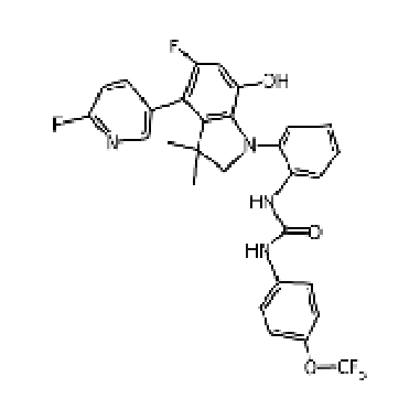 CC1(C)CN(c2ccccc2NC(=O)Nc2ccc(OC(F)(F)F)cc2)c2c(O)cc(F)c(-c3ccc(F)nc3)c21